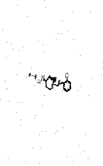 NC1CCN(c2ccccc2[O])CC1